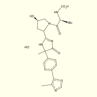 Cc1ncsc1-c1ccc(C2(C)NC(C3C[C@@H](O)CN3C(=O)[C@@H](NC(=O)O)C(C)(C)C)=NC2=O)cc1.Cl